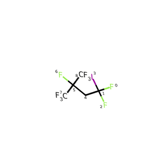 FC(F)(I)CC(F)(C(F)(F)F)C(F)(F)F